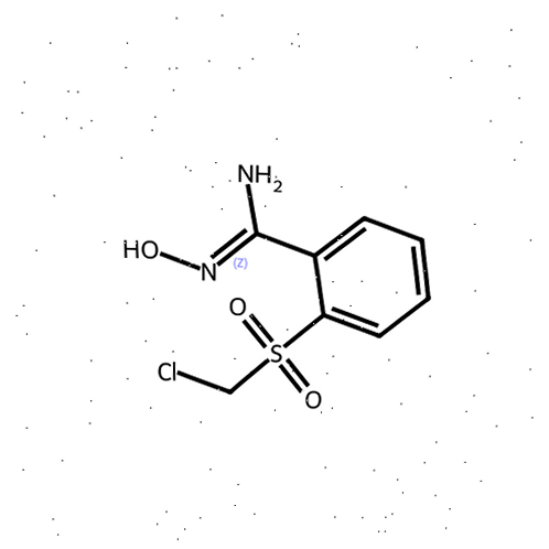 N/C(=N\O)c1ccccc1S(=O)(=O)CCl